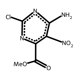 COC(=O)c1nc(Cl)nc(N)c1[N+](=O)[O-]